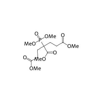 COC(=O)CCC(CCC(=O)OC)(C(=O)OC)P(=O)(OC)OC